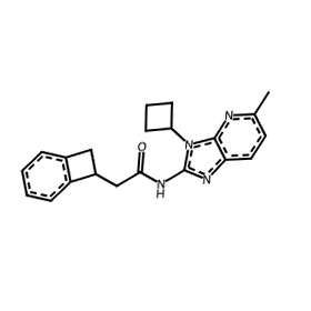 Cc1ccc2nc(NC(=O)CC3Cc4ccccc43)n(C3CCC3)c2n1